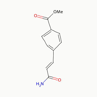 COC(=O)c1ccc(/C=C/C(N)=O)cc1